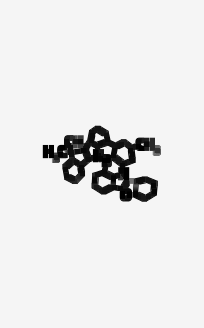 Cc1cc2c3c(c1)-n1c4c(cccc4c4oc5ccccc5c41)B3n1c3c(c4cccc-2c41)C(C)(C)c1ccccc1-3